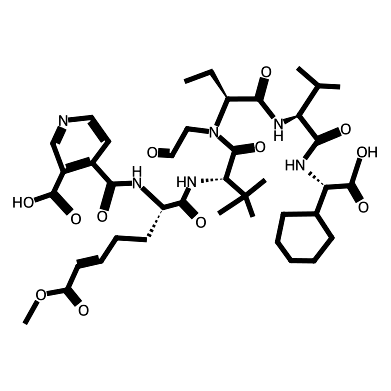 CC[C@@H](C(=O)N[C@H](C(=O)N[C@H](C(=O)O)C1CCCCC1)C(C)C)N(CC=O)C(=O)[C@@H](NC(=O)[C@H](CC/C=C/C(=O)OC)NC(=O)c1ccncc1C(=O)O)C(C)(C)C